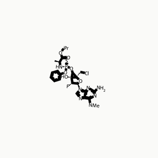 CNc1nc(N)nc2c1ncn2[C@@H]1O[C@]2(CCl)C(O[P@@](=S)(N[C@@H](C)C(=O)OC(C)C)Oc3ccccc3)[C@]2(O)[C@H]1F